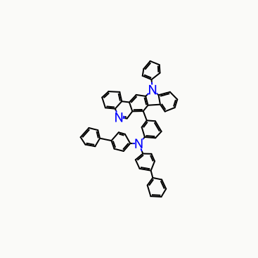 c1ccc(-c2ccc(N(c3ccc(-c4ccccc4)cc3)c3cccc(-c4c5cnc6ccccc6c5cc5c4c4ccccc4n5-c4ccccc4)c3)cc2)cc1